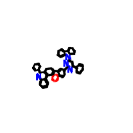 c1ccc(-c2cc(-n3c4ccccc4c4ccccc43)nc(-c3ccc4oc5c(ccc6c(-c7ccccc7)nc7ccccc7c65)c4c3)n2)cc1